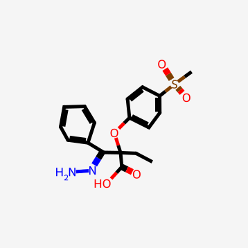 CCC(Oc1ccc(S(C)(=O)=O)cc1)(C(=O)O)C(=NN)c1ccccc1